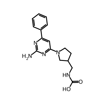 Nc1nc(-c2ccccc2)cc(N2CCC(CNC(=O)O)C2)n1